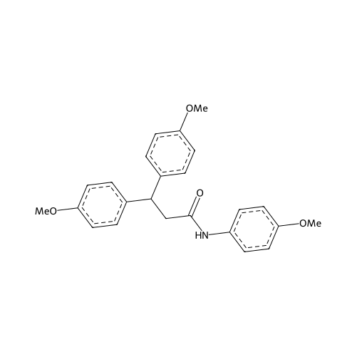 COc1ccc(NC(=O)CC(c2ccc(OC)cc2)c2ccc(OC)cc2)cc1